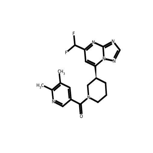 Cc1cc(C(=O)N2CCC[C@H](c3cc(C(F)F)nc4ncnn34)C2)cnc1C